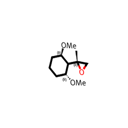 CO[C@@H]1CCC[C@@H](OC)C1[C@]1(C)CO1